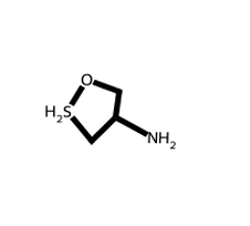 NC1CO[SH2]C1